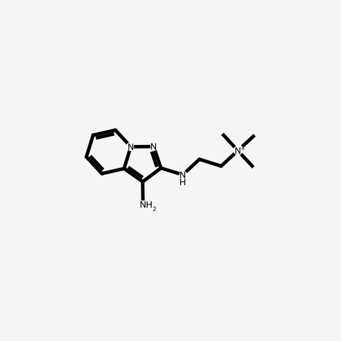 C[N+](C)(C)CCNc1nn2ccccc2c1N